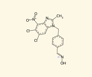 Cc1nc2c([N+](=O)[O-])c(Cl)c(Cl)cc2n1Cc1ccc(/C=N/O)cc1